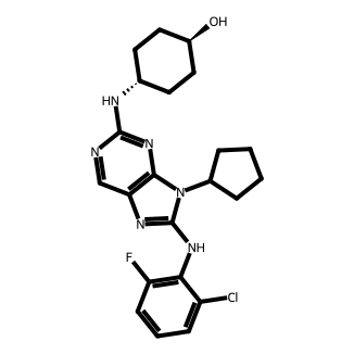 O[C@H]1CC[C@H](Nc2ncc3nc(Nc4c(F)cccc4Cl)n(C4CCCC4)c3n2)CC1